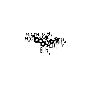 C[C](C)=[Zr+2]([C]1=CC([Si](C)(C)C)=CC1)[c]1c(C(C)(C)C)ccc2c1Cc1cc(C(C)(C)C)ccc1-2.[Cl-].[Cl-]